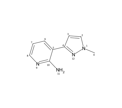 Cn1ccc(-c2cccnc2N)n1